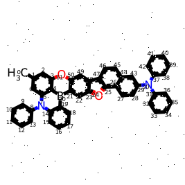 Cc1cc2c3c(c1)N(c1ccccc1)c1ccccc1B3c1cc3oc4c5ccc(N(c6ccccc6)c6ccccc6)cc5ccc4c3cc1O2